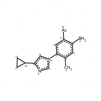 Bc1cc(C)c(-n2cnc(C3CC3)c2)cc1C(C)=O